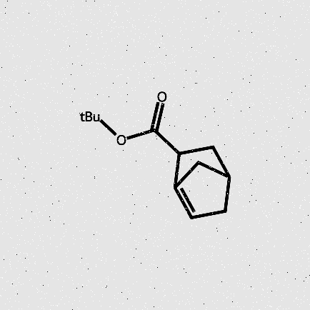 CC(C)(C)OC(=O)C1CC2CC=C1C2